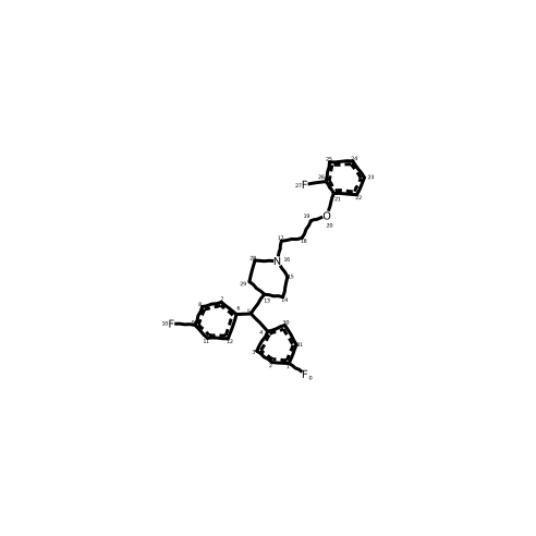 Fc1ccc(C(c2ccc(F)cc2)C2CCN(CCCOc3ccccc3F)CC2)cc1